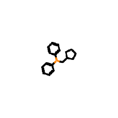 c1ccc(P(C[C]2CCCC2)c2ccccc2)cc1